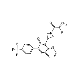 C=C(F)C(=O)N1CC(n2c(=O)c(-c3ccc(C(F)(F)F)cc3)nc3cccnc32)C1